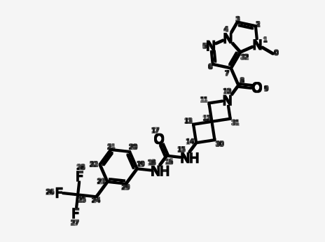 Cn1ccn2ncc(C(=O)N3CC4(CC(NC(=O)Nc5cccc(CC(F)(F)F)c5)C4)C3)c12